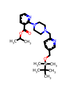 CC(C)OC(=O)c1cccnc1N1CCN(Cc2ccc(CO[Si](C)(C)C(C)(C)C)cn2)CC1